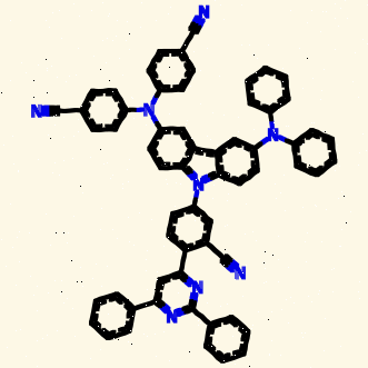 N#Cc1ccc(N(c2ccc(C#N)cc2)c2ccc3c(c2)c2cc(N(c4ccccc4)c4ccccc4)ccc2n3-c2ccc(-c3cc(-c4ccccc4)nc(-c4ccccc4)n3)c(C#N)c2)cc1